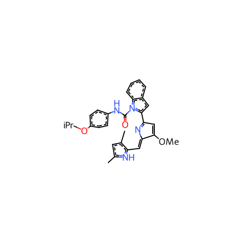 COC1=CC(c2cc3ccccc3n2C(=O)Nc2ccc(OC(C)C)cc2)=N/C1=C\c1[nH]c(C)cc1C